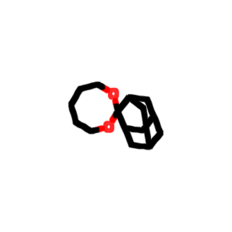 C1CCOC2(OCC1)C1CC3CC(C1)CC2C3